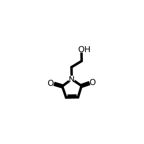 O=C1C=CC(=O)N1CCO